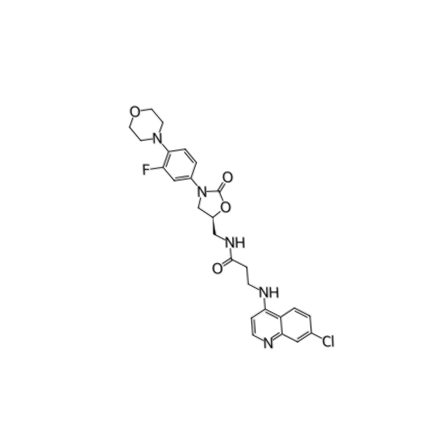 O=C(CCNc1ccnc2cc(Cl)ccc12)NC[C@H]1CN(c2ccc(N3CCOCC3)c(F)c2)C(=O)O1